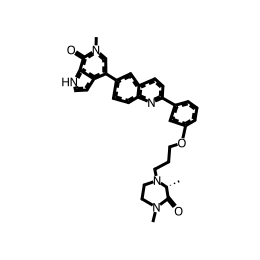 C[C@@H]1C(=O)N(C)CCN1CCCOc1cccc(-c2ccc3cc(-c4cn(C)c(=O)c5[nH]ccc45)ccc3n2)c1